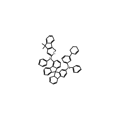 CC1(C)C2=C(CCC(N(c3ccccc3)c3cccc4c3-c3ccccc3C43c4cc(N(c5ccccc5)c5cccc(C6C=CCCC6)c5)ccc4C4C=CC=CC43)=C2)c2ccccc21